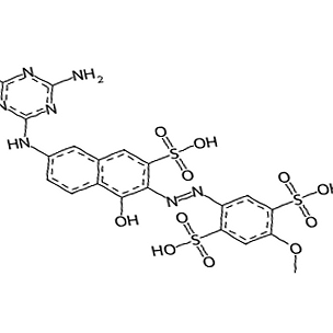 COc1cc(S(=O)(=O)O)c(/N=N/c2c(S(=O)(=O)O)cc3cc(Nc4nc(N)nc(F)n4)ccc3c2O)cc1S(=O)(=O)O